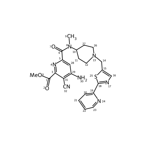 COC(=O)c1nc(C(=O)N(C)C2CCN(Cc3cnc(-c4ccccn4)s3)CC2)cc(N)c1C#N